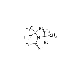 CCC(C)(C)N([C](=N)[Co])C(C)(C)CC